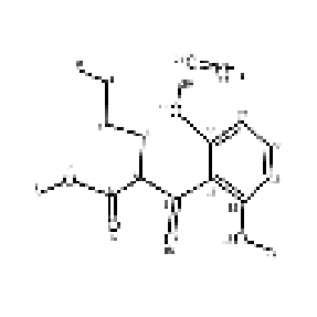 CCCCC(C(=O)OC)C(=O)c1c(OC)cccc1OC.O=[PH3]